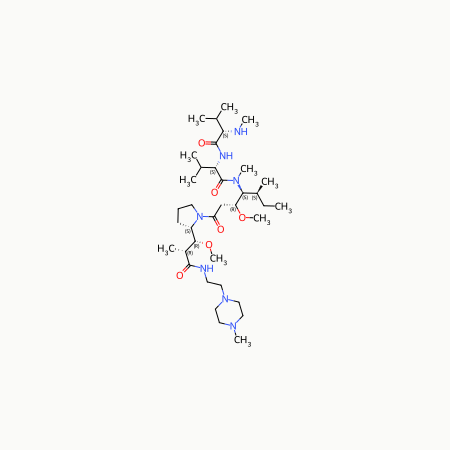 CC[C@H](C)[C@@H]([C@@H](CC(=O)N1CCC[C@H]1[C@H](OC)[C@@H](C)C(=O)NCCN1CCN(C)CC1)OC)N(C)C(=O)[C@@H](NC(=O)[C@@H](NC)C(C)C)C(C)C